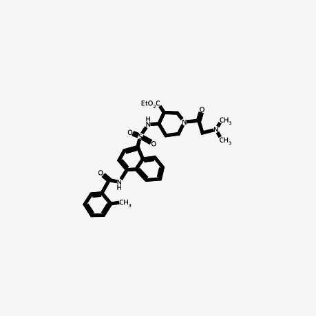 CCOC(=O)C1CN(C(=O)CN(C)C)CCC1NS(=O)(=O)c1ccc(NC(=O)c2ccccc2C)c2ccccc12